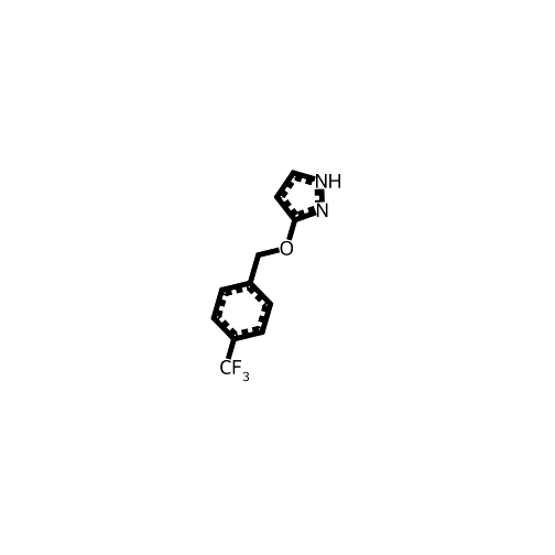 FC(F)(F)c1ccc(COc2cc[nH]n2)cc1